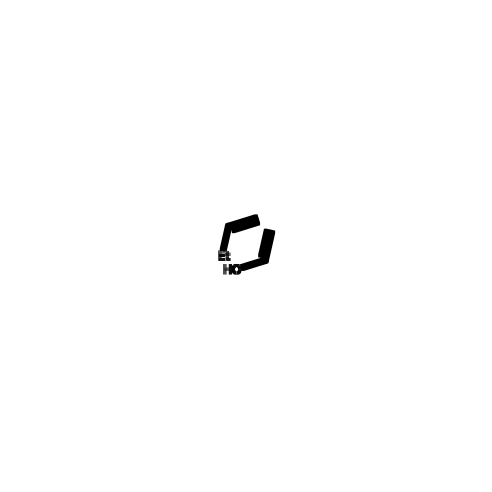 C=CCC.C=CO